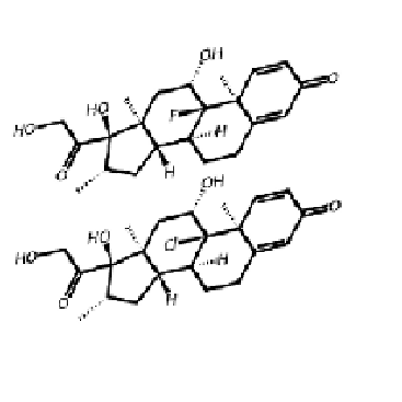 C[C@H]1C[C@H]2[C@@H]3CCC4=CC(=O)C=C[C@]4(C)[C@@]3(Cl)[C@@H](O)C[C@]2(C)[C@@]1(O)C(=O)CO.C[C@H]1C[C@H]2[C@@H]3CCC4=CC(=O)C=C[C@]4(C)[C@@]3(F)[C@@H](O)C[C@]2(C)[C@@]1(O)C(=O)CO